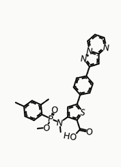 COP(=O)(c1ccc(C)cc1C)N(C)c1cc(-c2ccc(-c3cc4ncccn4n3)cc2)sc1C(=O)O